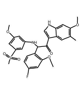 COc1cc(NC(C(=O)c2c[nH]c3cc(OC)c(C)cc23)c2ccc(F)cc2OC)cc(S(C)(=O)=O)c1